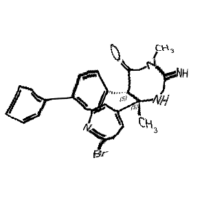 CN1C(=N)N[C@](C)(c2ccnc(Br)c2)[C@H](c2ccc(-c3ccccc3)cc2)C1=O